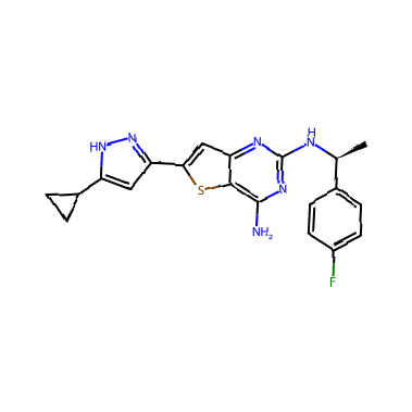 C[C@H](Nc1nc(N)c2sc(-c3cc(C4CC4)[nH]n3)cc2n1)c1ccc(F)cc1